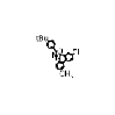 Cc1cccc(-c2ccc(Cl)cc2-c2nnc(-c3ccc(C(C)(C)C)cc3)o2)c1